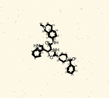 C[C@@H](c1c[nH]c2ccccc12)[C@@H](NC(=O)N1CCN(C(=O)c2ccccc2)CC1)C(=O)Nc1ccc2c(c1)CN(C)CC2